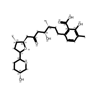 Cc1ccc(CC[C@@H](C)[C@H](O)CC(=O)C[C@H]2OC(C3CC[C@@H](O)CO3)C[C@@H]2C)c(C(=O)O)c1O